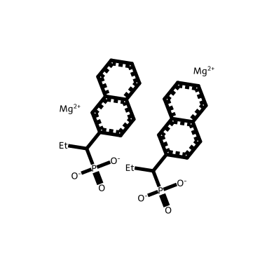 CCC(c1ccc2ccccc2c1)P(=O)([O-])[O-].CCC(c1ccc2ccccc2c1)P(=O)([O-])[O-].[Mg+2].[Mg+2]